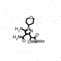 COC(=O)C(OC)c1nn(C2CCOCC2)c(N)c1C(N)=O